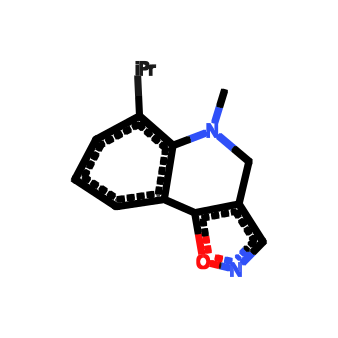 CC(C)c1cccc2c1N(C)Cc1cnoc1-2